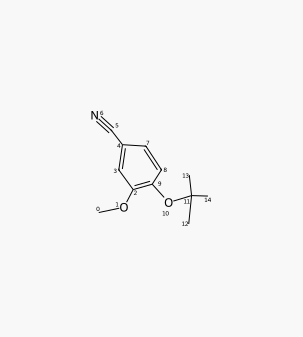 COc1cc(C#N)ccc1OC(C)(C)C